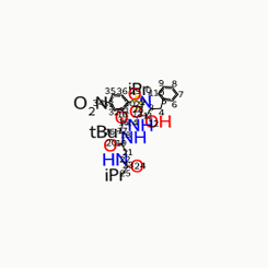 CC(C)CN(C(Cc1ccccc1)C(O)CNC(=O)C(NC(=O)CNC(=O)C(C)C)C(C)(C)C)S(=O)(=O)c1ccc([N+](=O)[O-])cc1